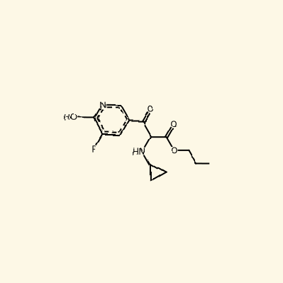 CCCOC(=O)C(NC1CC1)C(=O)c1cnc(O)c(F)c1